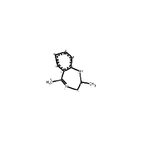 CC1=NCC(C)Nc2ccccc21